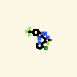 FC(F)(F)c1ccc2[nH]c(-c3n[c]sc3-c3ncccc3Cl)nc2c1